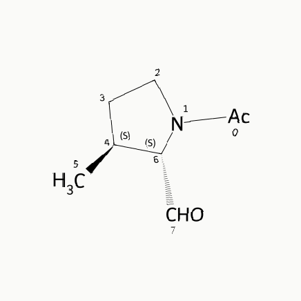 CC(=O)N1CC[C@H](C)[C@H]1C=O